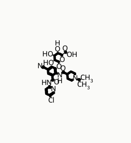 CC(C)N1CCC(C(=O)Nc2c(O[C@@H]3O[C@H](C(=O)O)[C@@H](O)[C@H](O)[C@H]3O)cc(C#N)cc2C(=O)Nc2ccc(Cl)cn2)CC1